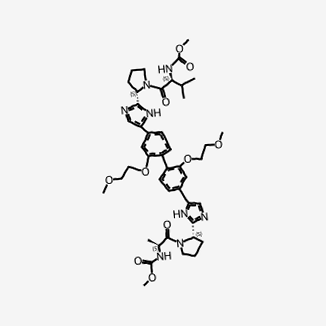 COCCOc1cc(-c2cnc([C@@H]3CCCN3C(=O)[C@H](C)NC(=O)OC)[nH]2)ccc1-c1ccc(-c2cnc([C@@H]3CCCN3C(=O)[C@@H](NC(=O)OC)C(C)C)[nH]2)cc1OCCOC